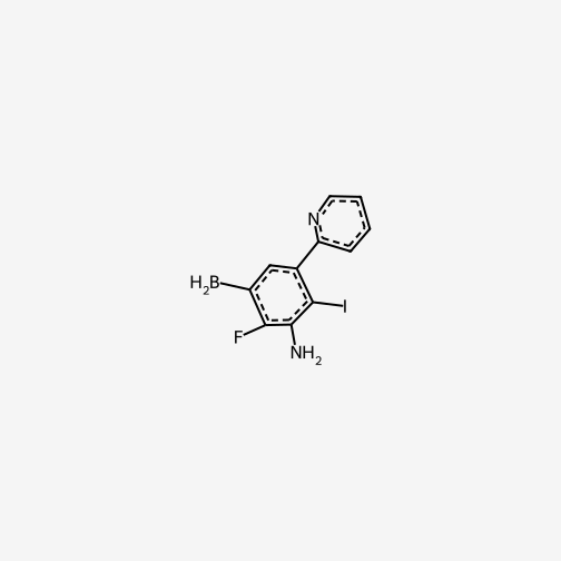 Bc1cc(-c2ccccn2)c(I)c(N)c1F